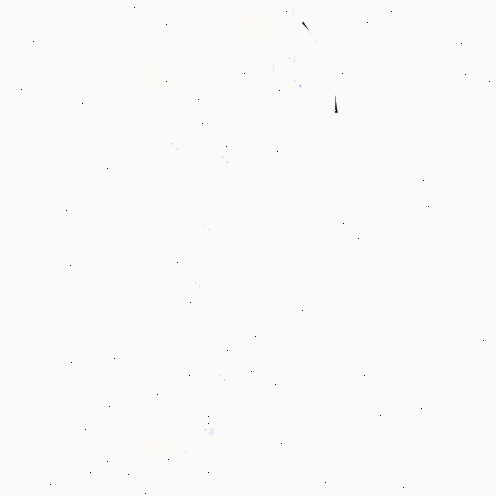 COc1cc(C(=O)N2C[C@H]3CC[C@@H]2[C@@H]3N)cc2nc(-c3cc4ccc(-c5ccc(NC(C)=O)nc5)nc4n3CC3CC3)n(C)c12